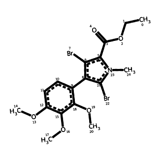 CCOC(=O)c1c(Br)c(-c2ccc(OC)c(OC)c2OC)c(Br)n1C